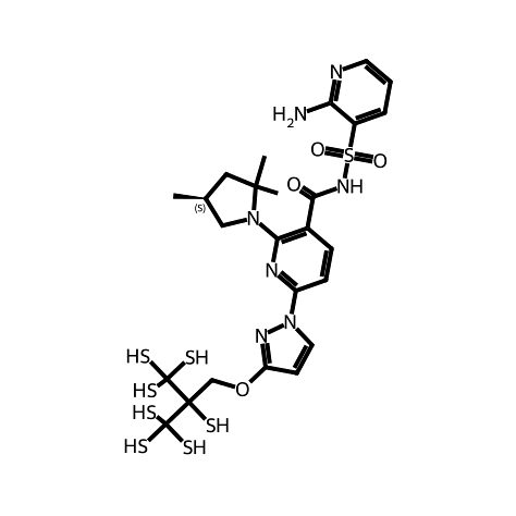 C[C@@H]1CN(c2nc(-n3ccc(OCC(S)(C(S)(S)S)C(S)(S)S)n3)ccc2C(=O)NS(=O)(=O)c2cccnc2N)C(C)(C)C1